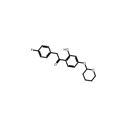 O=C(Cc1ccc(F)cc1)c1ccc(OC2CCCCO2)cc1O